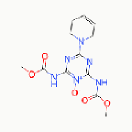 COC(=O)Nc1nc(N2CC=CCC2)nc(NC(=O)OC)[n+]1[O-]